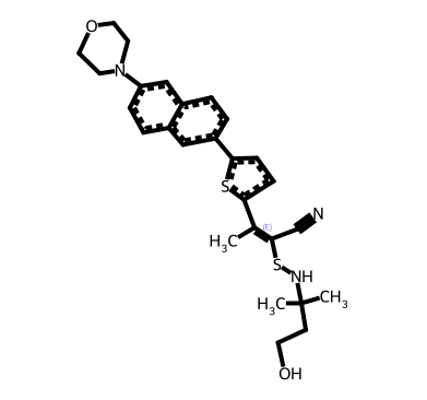 C/C(=C(/C#N)SNC(C)(C)CCO)c1ccc(-c2ccc3cc(N4CCOCC4)ccc3c2)s1